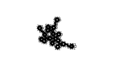 C(=C\c1ccc(N(c2ccccc2)c2ccc3c(-c4ccccc4)c(-c4ccc(N(c5ccc(/C=C/c6ccccc6)cc5)c5cccc6ccccc56)cc4)c(-c4ccc(N(c5ccc(/C=C/c6ccccc6)cc5)c5cccc6ccccc56)cc4)c(-c4ccccc4)c3c2)cc1)/c1ccccc1